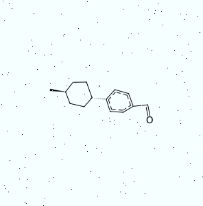 C[C@H]1CC[C@H](c2ccc(C=O)cc2)CC1